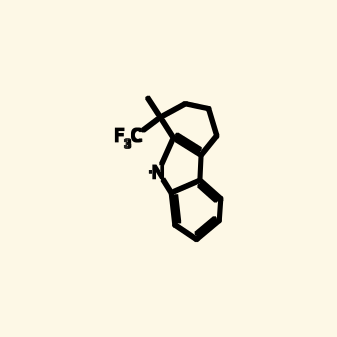 CC1(C(F)(F)F)CCCC2=C1[N]c1ccccc12